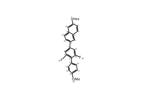 CCCCCCc1ccc2cc(-c3cc(F)c(-c4ccc(OC)cc4)c(F)c3)ccc2c1